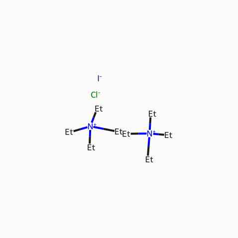 CC[N+](CC)(CC)CC.CC[N+](CC)(CC)CC.[Cl-].[I-]